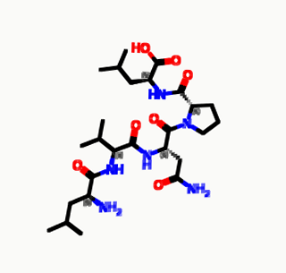 CC(C)C[C@H](NC(=O)[C@@H]1CCCN1C(=O)[C@H](CC(N)=O)NC(=O)[C@@H](NC(=O)[C@@H](N)CC(C)C)C(C)C)C(=O)O